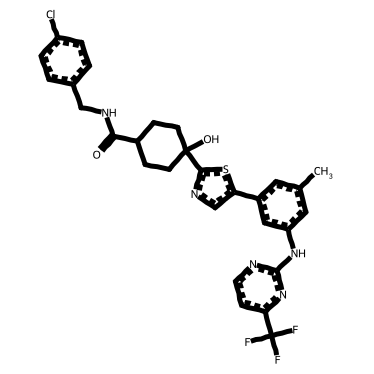 Cc1cc(Nc2nccc(C(F)(F)F)n2)cc(-c2cnc(C3(O)CCC(C(=O)NCc4ccc(Cl)cc4)CC3)s2)c1